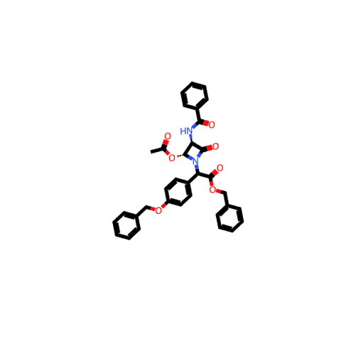 CC(=O)O[C@@H]1[C@@H](NC(=O)c2ccccc2)C(=O)N1C(C(=O)OCc1ccccc1)c1ccc(OCc2ccccc2)cc1